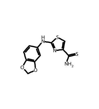 NC(=S)c1csc(Nc2ccc3c(c2)OCO3)n1